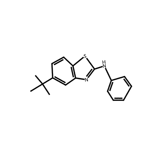 CC(C)(C)c1ccc2sc(Nc3ccccc3)nc2c1